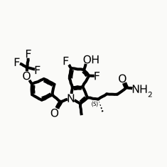 Cc1c([C@@H](C)CCC(N)=O)c2c(F)c(O)c(F)cc2n1C(=O)c1ccc(OC(F)(F)F)cc1